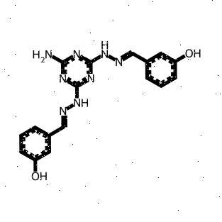 Nc1nc(NN=Cc2cccc(O)c2)nc(NN=Cc2cccc(O)c2)n1